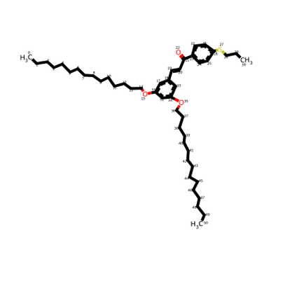 CCCCCCCCCCCCCCCOc1cc(C=CC(=O)c2ccc(SCCC)cc2)cc(OCCCCCCCCCCCCCCC)c1